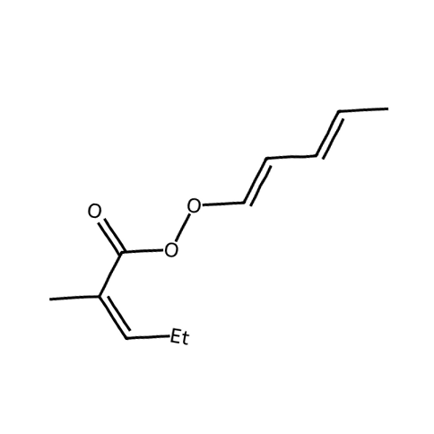 CC=CC=COOC(=O)C(C)=CCC